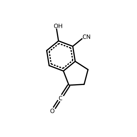 N#Cc1c(O)ccc2c1CCC2=C=O